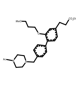 CCOC(=O)CCc1ccc(-c2ccc(CN3CCN(C(C)=O)CC3)cc2)c(OCCCOC)c1